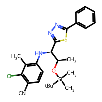 [C-]#[N+]c1ccc(N[C@@H](c2nnc(-c3ccccc3)s2)[C@@H](C)O[Si](C)(C)C(C)(C)C)c(C)c1Cl